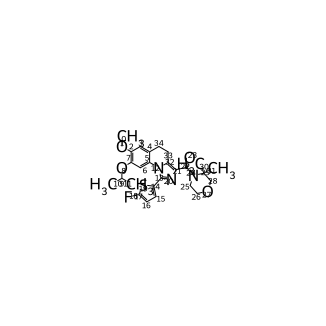 COc1cc2c(cc1OC(C)C)-n1c(-c3ccc(F)s3)nc(C(=O)N3CCOCC3(C)C)c1CC2